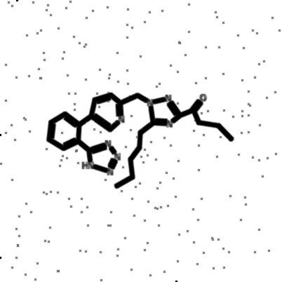 CCCCCc1nc(C(=O)CCC)nn1Cc1ccc(-c2ccccc2-c2nnn[nH]2)cn1